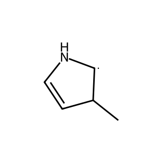 CC1[CH]NC=C1